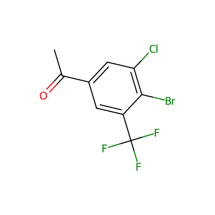 CC(=O)c1cc(Cl)c(Br)c(C(F)(F)F)c1